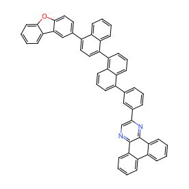 c1cc(-c2cnc3c4ccccc4c4ccccc4c3n2)cc(-c2cccc3c(-c4ccc(-c5ccc6oc7ccccc7c6c5)c5ccccc45)cccc23)c1